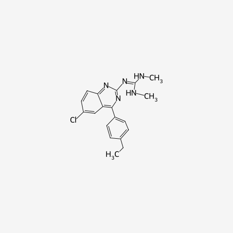 CCc1ccc(-c2nc(N=C(NC)NC)nc3ccc(Cl)cc23)cc1